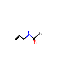 [CH2]CC(=O)NCC=C